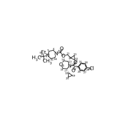 CCC(C)(C)N1CCN(C(=O)OCC2([C@H]3COC[C@@H](C4CC4)N3S(=O)(=O)c3ccc(Cl)cc3)CC2)CC1